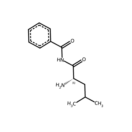 CC(C)C[C@H](N)C(=O)NC(=O)c1ccccc1